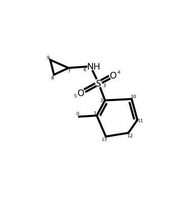 CC1=C(S(=O)(=O)NC2CC2)C=CCC1